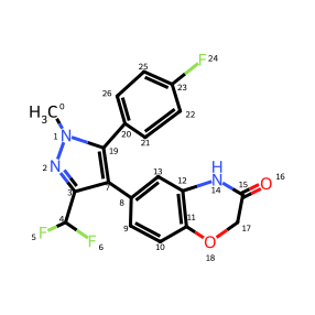 Cn1nc(C(F)F)c(-c2ccc3c(c2)NC(=O)CO3)c1-c1ccc(F)cc1